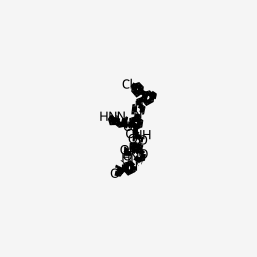 C[C@@H]1CN(C[C@H]2COc3cc(S(=O)(=O)NC(=O)c4ccc(N5CCN(CC6=C(c7ccc(Cl)cc7)CC(C)(C)CC6)CC5)cc4Oc4cnc5[nH]ccc5c4)cc([N+](=O)[O-])c3N2)CCN1C1COC1